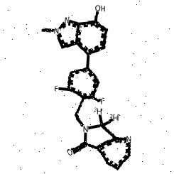 [2H]C1([2H])c2ncccc2C(=O)N1Cc1c(F)cc(-c2ccc(O)c3nn(C)cc23)cc1F